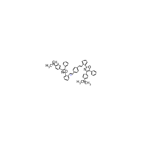 CN(C)c1ccc(-c2nc(-c3ccccc3C=Cc3ccc(/C=C/c4ccccc4-c4nc(-c5ccc(N(C)C)cc5)c(-c5ccccc5)o4)cc3)oc2-c2ccccc2)cc1